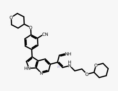 N#Cc1cc(-c2c[nH]c3ncc(/C(C=N)=C/NCCOC4CCCCO4)cc23)ccc1OC1CCOCC1